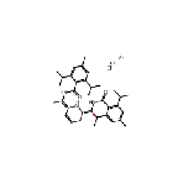 CC(NC(=O)c1c(C(C)C)cc(C)cc1C(C)C)=C1C=CCC(=C(C)NC(=O)c2c(C(C)C)cc(C)cc2C(C)C)N1.[Cl-].[Cl-].[Ti+2]